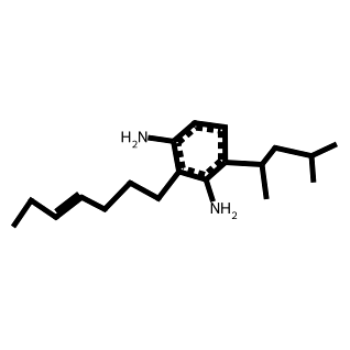 CCC=CCCCc1c(N)ccc(C(C)CC(C)C)c1N